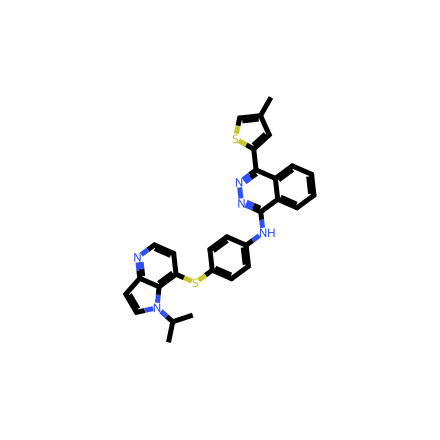 Cc1csc(-c2nnc(Nc3ccc(Sc4ccnc5ccn(C(C)C)c45)cc3)c3ccccc23)c1